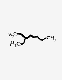 [CH2]C/C(=C/CCCC)CC